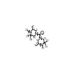 CC1CN(C(=O)N2CC(C)N(C)C(C)(C)C2)CC(C)(C)N1C